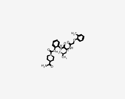 Cc1ccccc1OCC(=O)N[C@@H](CC(C)C)C(=O)Nc1ccccc1OC(=O)N1CCC(C(N)=O)CC1